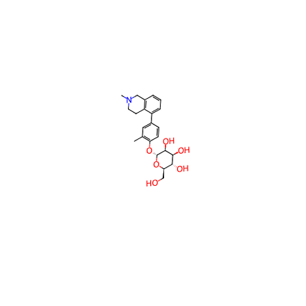 Cc1cc(-c2cccc3c2CCN(C)C3)ccc1O[C@H]1O[C@H](CO)[C@@H](O)[C@H](O)[C@@H]1O